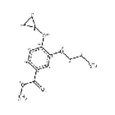 CCCOc1cc(C(=O)OC)ccc1OC1CC1